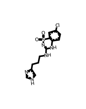 O=S1(=O)N=C(NCCCc2c[nH]cn2)Nc2ccc(Cl)cc21